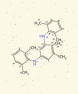 Cc1cc(Nc2c(C)cccc2C)cc(Nc2c(C)cccc2C)c1C